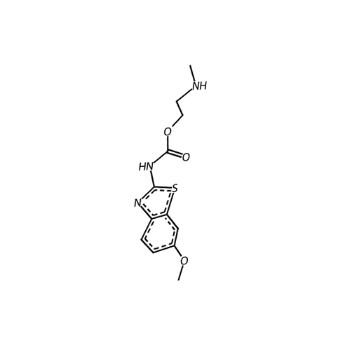 CNCCOC(=O)Nc1nc2ccc(OC)cc2s1